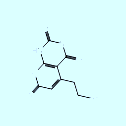 CC(C)CCc1cc(=O)oc2[nH]c(=O)[nH]c(=O)c12